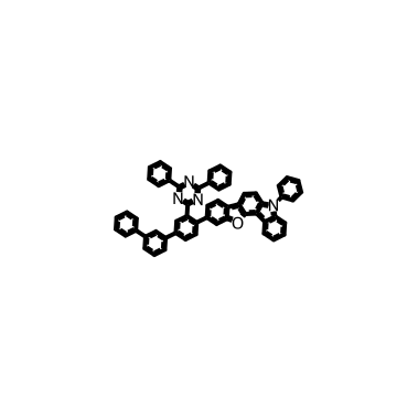 c1ccc(-c2cccc(-c3ccc(-c4ccc5c(c4)oc4c5ccc5c4c4ccccc4n5-c4ccccc4)c(-c4nc(-c5ccccc5)nc(-c5ccccc5)n4)c3)c2)cc1